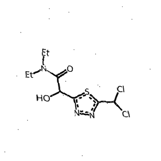 CCN(CC)C(=O)C(O)c1nnc(C(Cl)Cl)s1